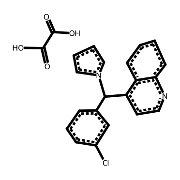 Clc1cccc(C(c2ccnc3ccccc23)n2cccc2)c1.O=C(O)C(=O)O